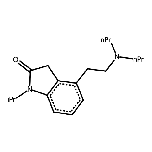 CCCN(CCC)CCc1cccc2c1CC(=O)N2C(C)C